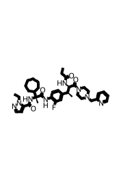 CCC(=O)N[C@@H](C(=O)N1CCN(Cc2ccccn2)CC1)[C@@H](C)c1ccc(NC(=O)[C@](C)(NC(=O)c2ccnn2CC)C2CCCCCC2)c(F)c1